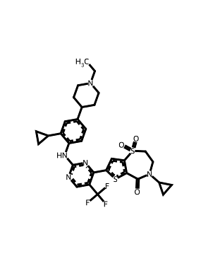 CCN1CCC(c2ccc(Nc3ncc(C(F)(F)F)c(-c4cc5c(s4)C(=O)N(C4CC4)CCS5(=O)=O)n3)c(C3CC3)c2)CC1